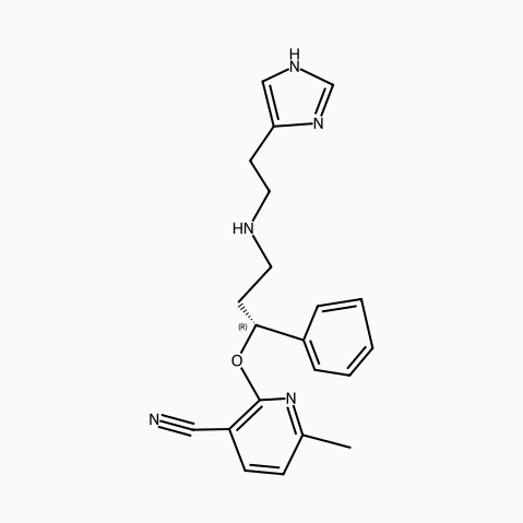 Cc1ccc(C#N)c(O[C@H](CCNCCc2c[nH]cn2)c2ccccc2)n1